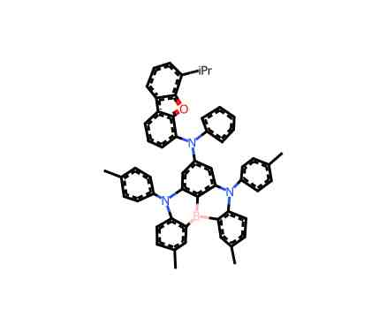 Cc1ccc(N2c3ccc(C)cc3B3c4cc(C)ccc4N(c4ccc(C)cc4)c4cc(N(c5ccccc5)c5cccc6c5oc5c(C(C)C)cccc56)cc2c43)cc1